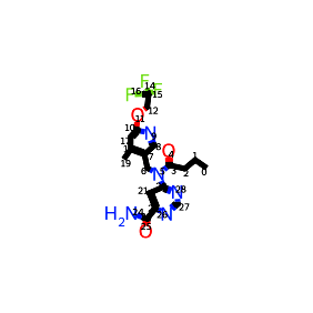 CCCC(=O)N(Cc1cnc(OCC(F)(F)F)cc1C)c1cc(C(N)=O)ncn1